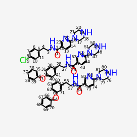 O=C(NCCc1ccc(Cl)cc1)c1ccc(N2CCNCC2)nc1.O=C(NCCc1ccc(Oc2ccccc2)cc1)c1ccc(N2CCNCC2)nc1.O=C(NCCc1cccc(Oc2ccccc2)c1)c1ccc(N2CCNCC2)nc1